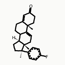 C[C@]12CCC(=O)C=C1CCC1C2=CC[C@@]2(C)[C@H]1CC[C@]2(C)c1ccc(F)cc1